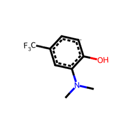 CN(C)c1cc(C(F)(F)F)c[c]c1O